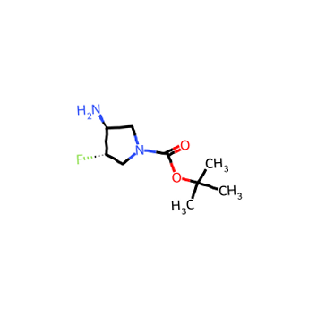 CC(C)(C)OC(=O)N1C[C@H](N)[C@@H](F)C1